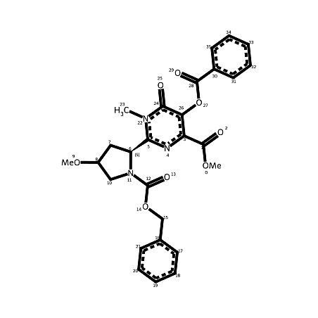 COC(=O)c1nc([C@@H]2CC(OC)CN2C(=O)OCc2ccccc2)n(C)c(=O)c1OC(=O)c1ccccc1